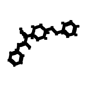 C/C(=C\c1ccccc1)C(=O)N1CCN(CCc2ccccc2)CC1